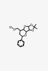 CCOCC1CC(c2ccccc2)OC2C1OC1OC(C)(C)OC12